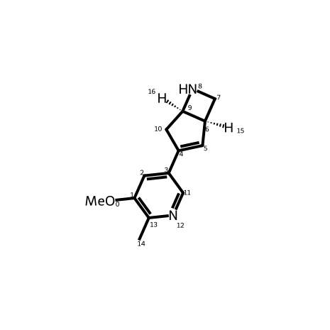 COc1cc(C2=C[C@@H]3CN[C@@H]3C2)cnc1C